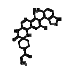 C=CC(=O)N1CCC2(CC1)Nc1c(cnc3c(F)c(-c4c(C)ccc5[nH]ncc45)c(Cl)cc13)NC2=O